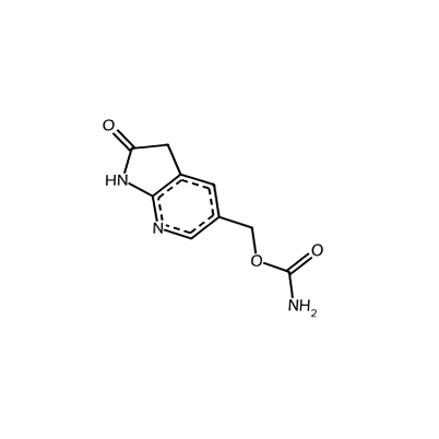 NC(=O)OCc1cnc2c(c1)CC(=O)N2